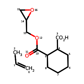 C=CC.O=C(O)C1CCCCC1C(=O)OCC1CO1